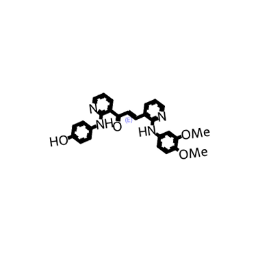 COc1ccc(Nc2ncccc2/C=C/C(=O)c2cccnc2Nc2ccc(O)cc2)cc1OC